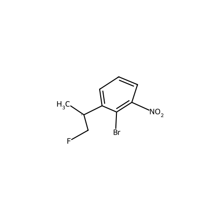 C[C](CF)c1cccc([N+](=O)[O-])c1Br